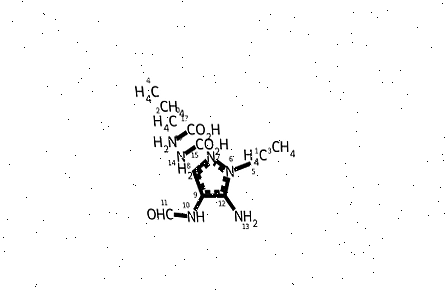 C.C.C.C.C.Cn1ncc(NC=O)c1N.NC(=O)O.NC(=O)O